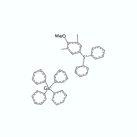 COc1c(C)cc([S+](c2ccccc2)c2ccccc2)cc1C.c1cc[c]([Ga-]([c]2ccccc2)([c]2ccccc2)[c]2ccccc2)cc1